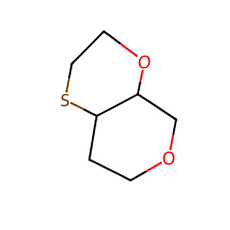 C1CC2SCCOC2CO1